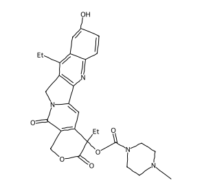 CCc1c2c(nc3ccc(O)cc13)-c1cc3c(c(=O)n1C2)COC(=O)C3(CC)OC(=O)N1CCN(C)CC1